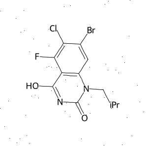 CC(C)Cn1c(=O)nc(O)c2c(F)c(Cl)c(Br)cc21